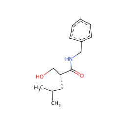 C[C](C)C[C@H](CO)C(=O)NCc1ccccc1